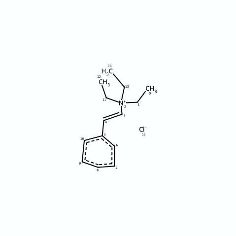 CC[N+](C=Cc1ccccc1)(CC)CC.[Cl-]